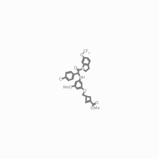 COC(=O)C1=CC(COc2cc(NC(C(=O)N3CCc4ccc(OC(F)(F)F)cc43)c3ccc(Cl)cc3)cc(OC)c2)C1